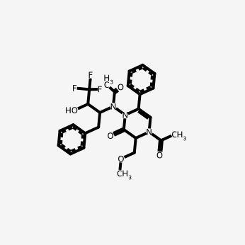 COCC1C(=O)N(N(C(C)=O)C(Cc2ccccc2)C(O)C(F)(F)F)C(c2ccccc2)=CN1C(C)=O